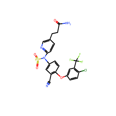 N#Cc1cc(N(c2ccc(CCC(N)=O)cn2)[SH](=O)=O)ccc1Oc1ccc(Cl)c(C(F)(F)F)c1